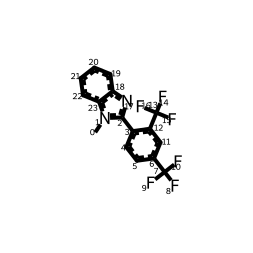 Cn1c(-c2ccc(C(F)(F)F)cc2C(F)(F)F)nc2ccccc21